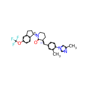 Cc1cn(-c2ccc(/C=C3\CCCN([C@@H]4CCc5cc(OC(F)(F)F)ccc54)C3=O)cc2C)cn1